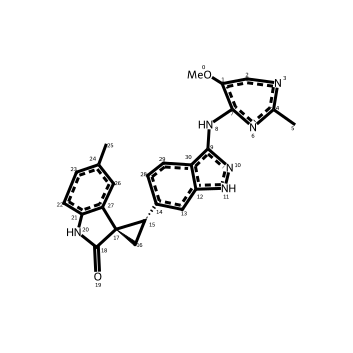 COc1cnc(C)nc1Nc1n[nH]c2cc([C@@H]3C[C@]34C(=O)Nc3ccc(C)cc34)ccc12